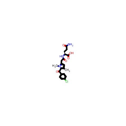 Cc1cc(CC(=O)N[C@@H](CCC(N)=O)C(=O)O)n(C)c1C(=O)c1ccc(Cl)cc1